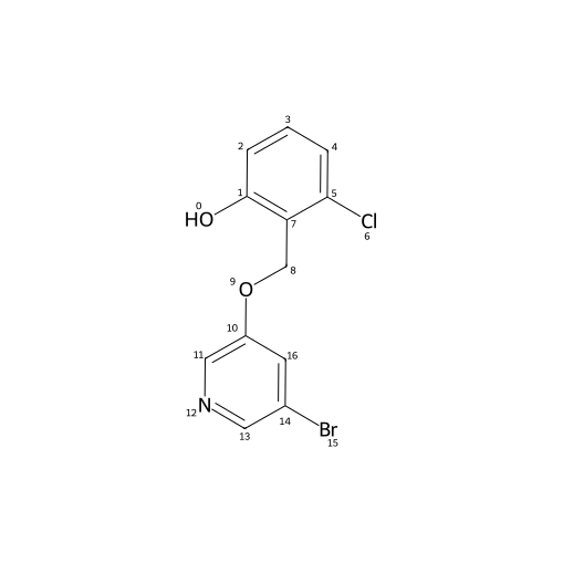 Oc1cccc(Cl)c1COc1cncc(Br)c1